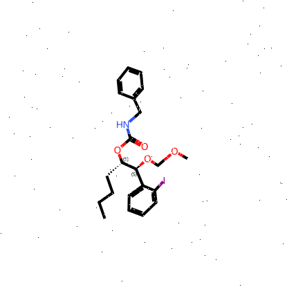 CCCC[C@H](OC(=O)NCc1ccccc1)[C@@H](OCOC)c1ccccc1I